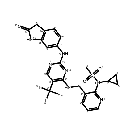 CS(=O)(=O)N(c1ncccc1CNc1nc(Nc2ccc3c(c2)NC(=O)C3)ncc1C(F)(F)F)C1CC1